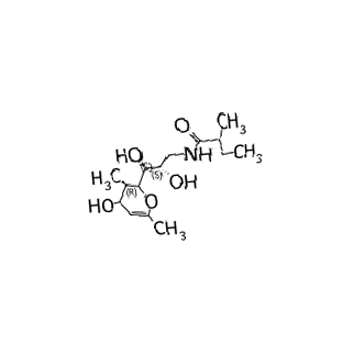 CCC(C)C(=O)NC[C@H](O)[C@H](O)C1OC(C)=CC(O)[C@H]1C